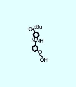 CC(C)(C)C(=O)c1ccc2[nH]c(-c3cccc(OCCO)c3)nc2c1